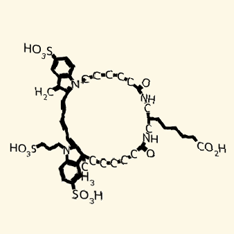 C=C1C2=[N+](CCCCCC(=O)NCC(CCCCCC(=O)O)CNC(=O)CCCCCC3(C)/C(=C/C=C/C=C/2)N(CCCS(=O)(=O)O)c2ccc(S(=O)(=O)O)cc23)c2ccc(S(=O)(=O)O)cc21